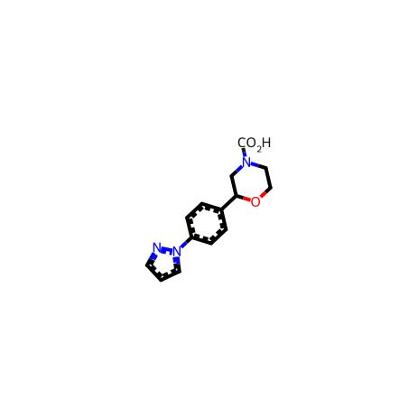 O=C(O)N1CCOC(c2ccc(-n3cccn3)cc2)C1